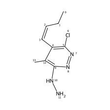 CC/C=C\c1c(Cl)nnc(NN)c1C